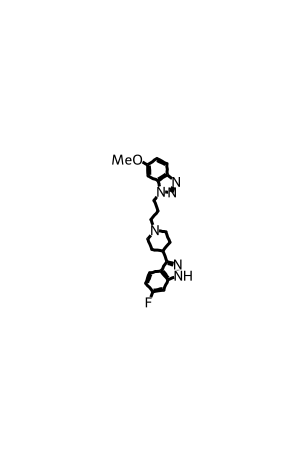 COc1ccc2nnn(CCCN3CCC(c4n[nH]c5cc(F)ccc45)CC3)c2c1